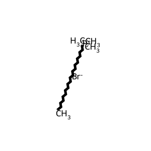 CCCCCCCCCCCCCCCCCCCCCC[P+](C)(C)C.[Br-]